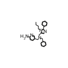 CCCCn1c(CN(Cc2ccccc2)Cc2ccc(N)nc2)cnc1-c1ccccc1